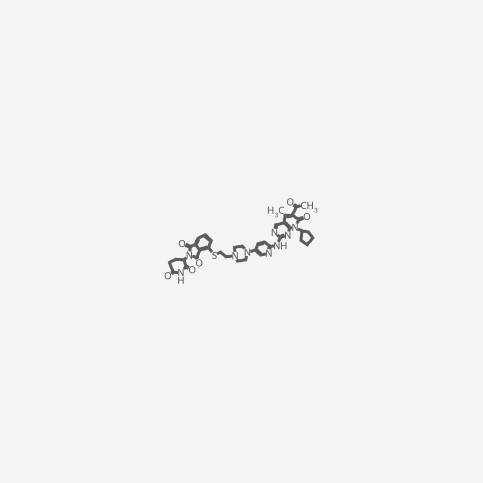 CC(=O)c1c(C)c2cnc(Nc3ccc(N4CCN(CCSc5cccc6c5C(=O)N(C5CCC(=O)NC5=O)C6=O)CC4)cn3)nc2n(C2CCCC2)c1=O